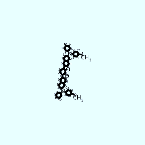 CCc1ccc(N(c2ccccc2)c2ccc3cc4c(cc3c2)oc2c4ccc3c4cc5ccc(N(c6ccccc6)c6ccc(CC)cc6)cc5cc4oc32)cc1